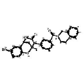 CC12CC(NC(=O)N1c1cccc(C(=O)N3CCc4ccccc4C3)c1)c1cc(Br)ccc1O2